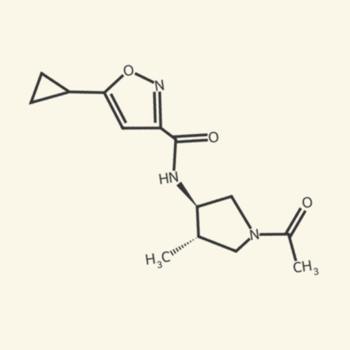 CC(=O)N1C[C@H](NC(=O)c2cc(C3CC3)on2)[C@@H](C)C1